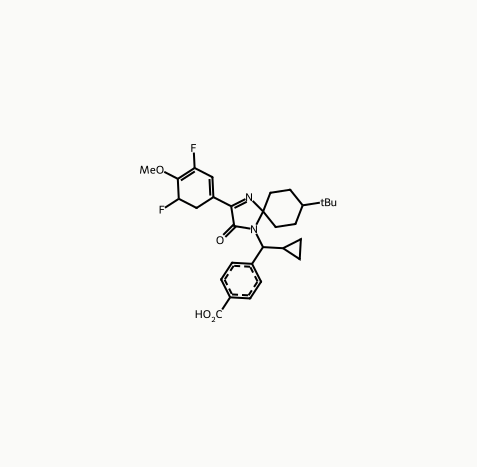 COC1=C(F)C=C(C2=NC3(CCC(C(C)(C)C)CC3)N(C(c3ccc(C(=O)O)cc3)C3CC3)C2=O)CC1F